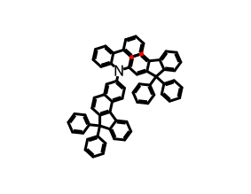 c1ccc(-c2ccccc2N(c2ccc3c(c2)C(c2ccccc2)(c2ccccc2)c2ccccc2-3)c2ccc3c4c(ccc3c2)C(c2ccccc2)(c2ccccc2)c2ccccc2-4)cc1